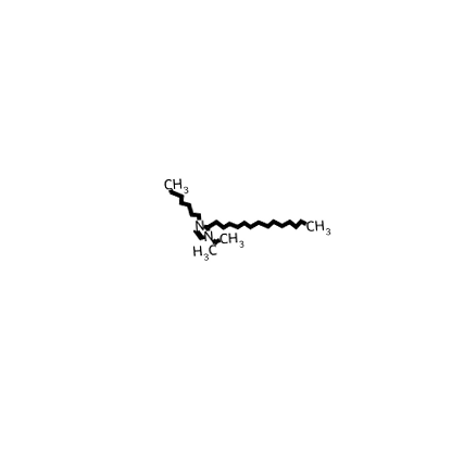 CCCCCCCCCCCCCCC1N(CCCCCCC)C=CN1C(C)C